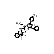 CCC[C@H](NC(=O)[C@H](Cc1ccccc1)NC(=O)N1CCC(N)CC1)C(=O)N[C@@H](CC1CCCCC1)[C@H](O)C(C)(C)O